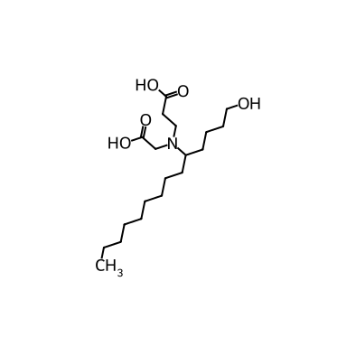 CCCCCCCCCC(CCCCO)N(CCC(=O)O)CC(=O)O